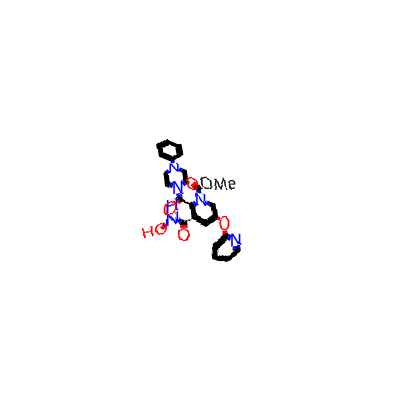 COC(=O)N1C[C@@H](Oc2ccccn2)C[C@H](C(=O)NO)[C@H]1C(=O)N1CCN(c2ccccc2)CC1